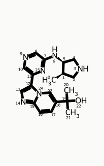 C[C@@H]1CNC[C@@H]1Nc1cncc(-c2cnc3ccc(C(C)(C)O)cn23)n1